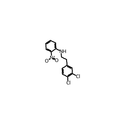 O=[N+]([O-])c1ccccc1NCCc1ccc(Cl)c(Cl)c1